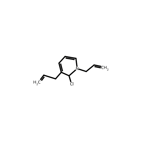 C=CCC1=CC=CN(CC=C)C1Cl